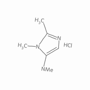 CNc1cnc(C)n1C.Cl